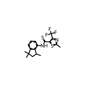 Cc1nc(C(F)(F)F)c(C(=S)Nc2cccc3c2C(C)CC3(C)C)s1